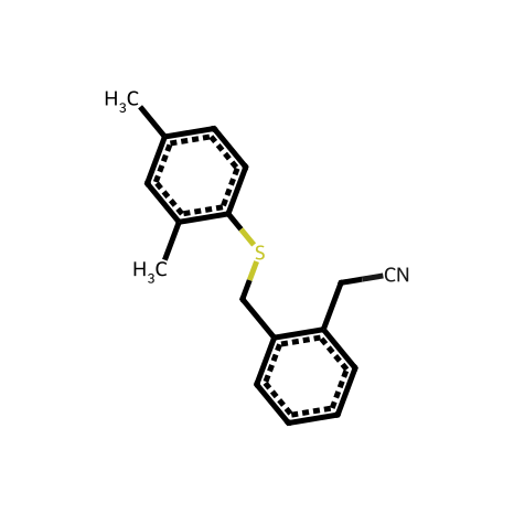 Cc1ccc(SCc2ccccc2CC#N)c(C)c1